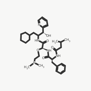 CC(C)CC(=O)N[C@@H](Cc1ccccc1)C(=O)N[C@@H](OCCN(C)C)C(=O)NC(CC1CCCCC1)[C@@H](O)c1ccccn1